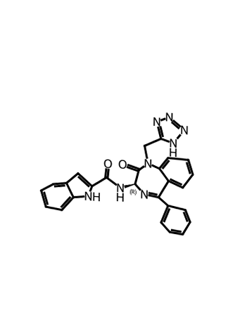 O=C(N[C@@H]1N=C(c2ccccc2)c2ccccc2N(Cc2nnn[nH]2)C1=O)c1cc2ccccc2[nH]1